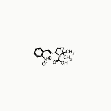 CC1(C)OC[C@@H](C=Cc2ccccc2[N+](=O)[O-])N1C(=O)O